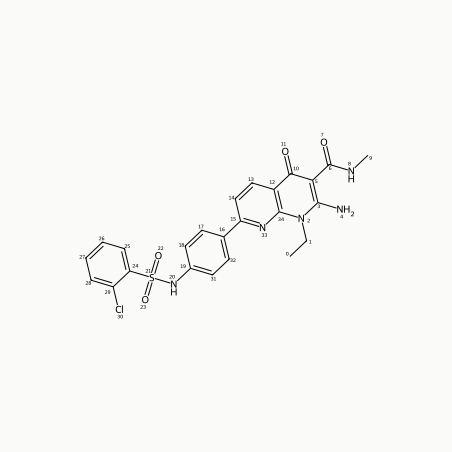 CCn1c(N)c(C(=O)NC)c(=O)c2ccc(-c3ccc(NS(=O)(=O)c4ccccc4Cl)cc3)nc21